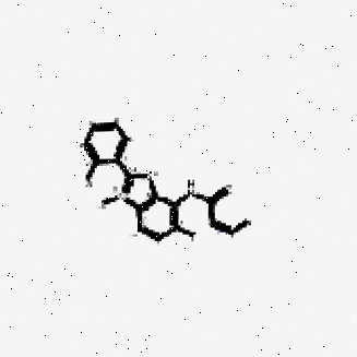 C=C(/C=C\C)Nc1c(C)ccc2c1sc(-c1ccccc1C)[n+]2C